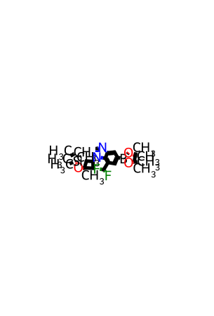 CC1(O[Si](C)(C)C(C)(C)C)CC(n2cnc3cc(B4OC(C)(C)C(C)(C)O4)cc(C(F)F)c32)C1